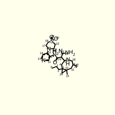 CCCC12CC(C(C(=O)Nc3cnccc3N3CCS(=O)(=O)CC3)C(N)N)NCC(F)CC1(C)C2